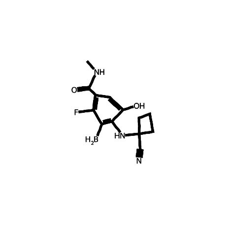 Bc1c(F)c(C(=O)NC)cc(O)c1NC1(C#N)CCC1